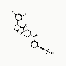 CC(C)(O)C#Cc1cccc(C(=O)N2CCC3(CC2)O[C@@H]2CC[C@@H](c4cc(F)cc(F)c4)N2C3=O)c1